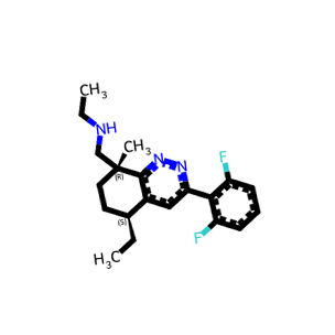 CCNC[C@@]1(C)CC[C@H](CC)c2cc(-c3c(F)cccc3F)nnc21